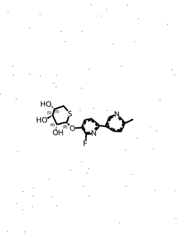 Cc1ccc(-c2ccc(O[C@@H]3SC[C@@H](O)[C@H](O)[C@H]3O)c(F)n2)cn1